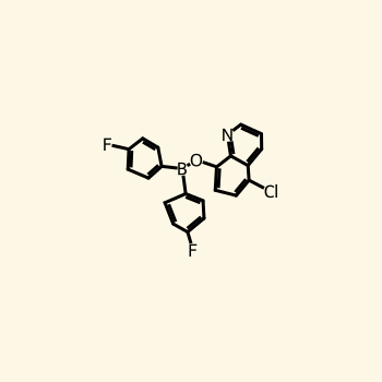 Fc1ccc(B(Oc2ccc(Cl)c3cccnc23)c2ccc(F)cc2)cc1